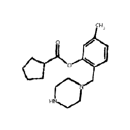 Cc1ccc(CN2CCNCC2)c(OC(=O)C2CCCC2)c1